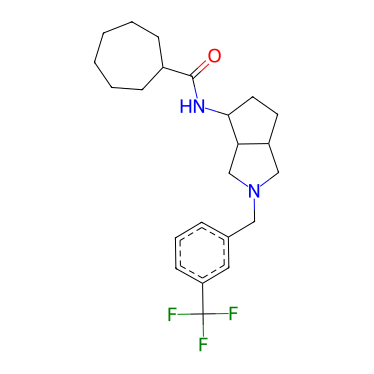 O=C(NC1CCC2CN(Cc3cccc(C(F)(F)F)c3)CC21)C1CCCCCC1